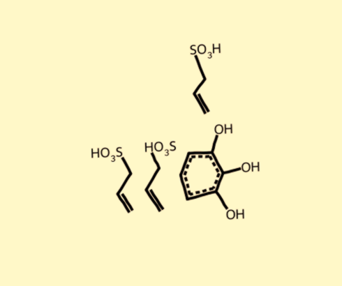 C=CCS(=O)(=O)O.C=CCS(=O)(=O)O.C=CCS(=O)(=O)O.Oc1cccc(O)c1O